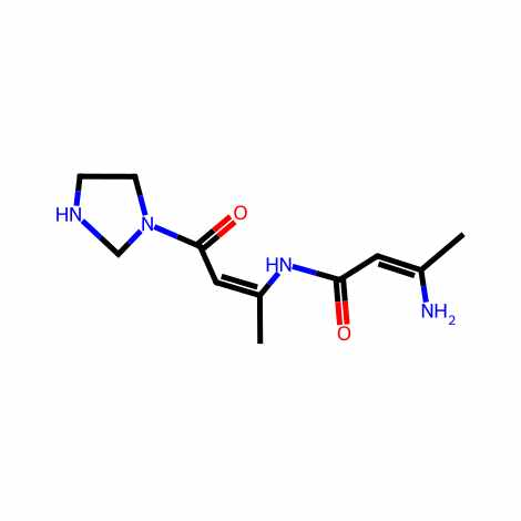 C/C(N)=C/C(=O)N/C(C)=C\C(=O)N1CCNC1